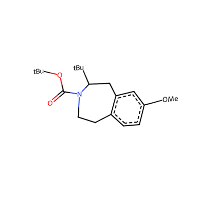 COc1ccc2c(c1)CC(C(C)(C)C)N(C(=O)OC(C)(C)C)CC2